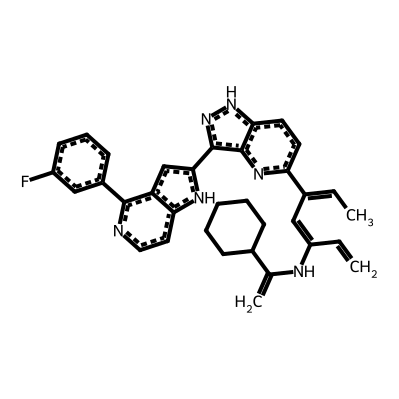 C=C/C(=C\C(=C/C)c1ccc2[nH]nc(-c3cc4c(-c5cccc(F)c5)nccc4[nH]3)c2n1)NC(=C)C1CCCCC1